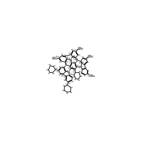 CC(C)(C)c1ccc2c(c1)c1cc(C(C)(C)C)cc3c1n2-c1c2c4c5c(c1C1CCCCC1)-n1c6ccc(C7CCCCC7)cc6c6cc(C7CCCCC7)cc(c61)B5c1cc(C(C)(C)C)cc5c6cc(C(C)(C)C)cc(c6n-4c15)B23